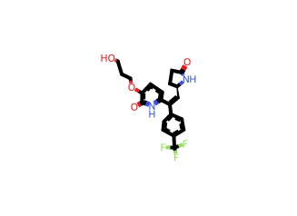 O=C1CC[C@H](/C=C(/c2ccc(C(F)(F)F)cc2)c2ccc(OCCCO)c(=O)[nH]2)N1